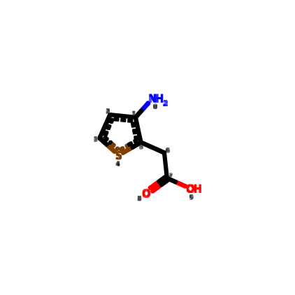 Nc1ccsc1CC(=O)O